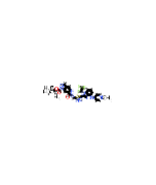 CN1CCC(Nc2cccc3c2cc(-c2nnc(CNC(=O)c4ccc5cnn(C(=O)OC(C)(C)C)c5c4)s2)n3C(F)C(F)F)CC1